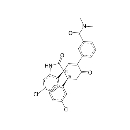 CN(C)C(=O)c1cccc(C2=C[C@@]3(C(=O)Nc4cc(Cl)ccc43)[C@H](c3cccc(Cl)c3)CC2=O)c1